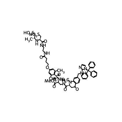 COC(=O)C(CNC(=O)[C@@H]1CC(=O)c2ccc(CNc3nccn3C(c3ccccc3)(c3ccccc3)c3ccccc3)cc2N1C)NS(=O)(=O)c1c(C)cc(OCCCC(=O)NCCNC(=O)[C@H](CS(=O)(=O)O)N[C@H](C)CS(=O)(=O)O)cc1C